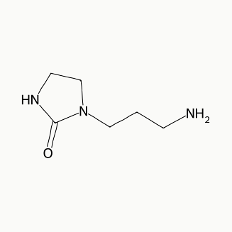 NCCCN1CCNC1=O